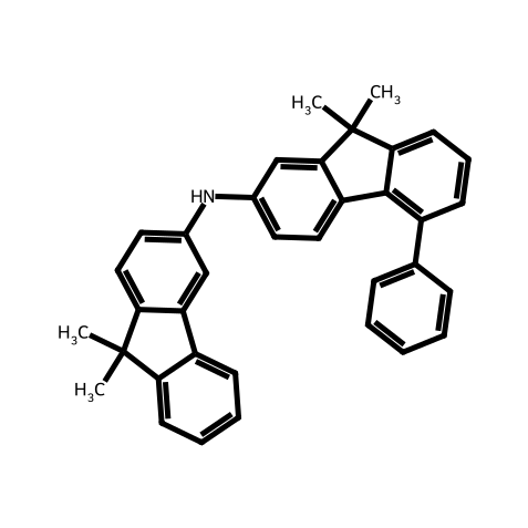 CC1(C)c2ccccc2-c2cc(Nc3ccc4c(c3)C(C)(C)c3cccc(-c5ccccc5)c3-4)ccc21